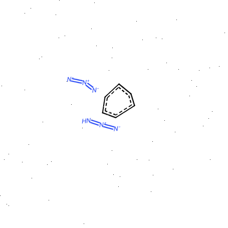 [N-]=[N+]=N.[N-]=[N+]=[N-].c1ccccc1